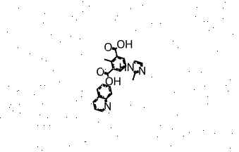 Cc1c(C(=O)O)cccc1C(=O)O.Cc1ncc[nH]1.c1ccc2ncccc2c1